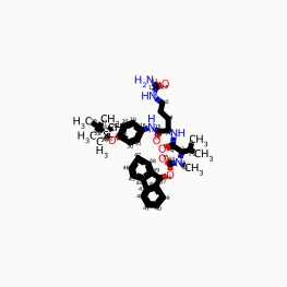 CC(C)C(C(=O)NC(CCCNC(N)=O)C(=O)Nc1ccc(O[Si](C)(C)C(C)(C)C)cc1)N(C)C(=O)OC1c2ccccc2-c2ccccc21